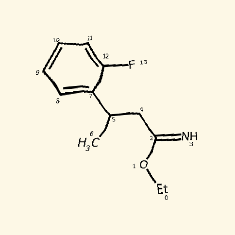 CCOC(=N)CC(C)c1ccccc1F